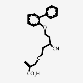 C=C(CCCCC(C#N)CCOc1ccccc1-c1ccccc1)C(=O)O